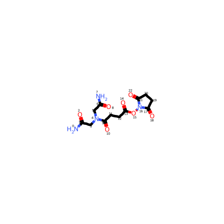 NC(=O)CN(CC(N)=O)C(=O)CCC(=O)ON1C(=O)CCC1=O